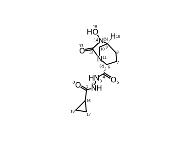 O=C(NNC(=O)[C@H]1CC[C@H]2CN1C(=O)N2O)C1CC1